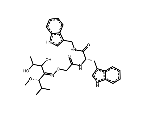 CO[C@H](/C(=N/OCC(=O)N[C@@H](Cc1c[nH]c2ccccc12)C(=O)NCc1c[nH]c2ccccc12)C(O)C(C)O)C(C)C